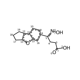 O=C(O)CCC(=NO)c1ccc2c3c(oc2c1)CCC3